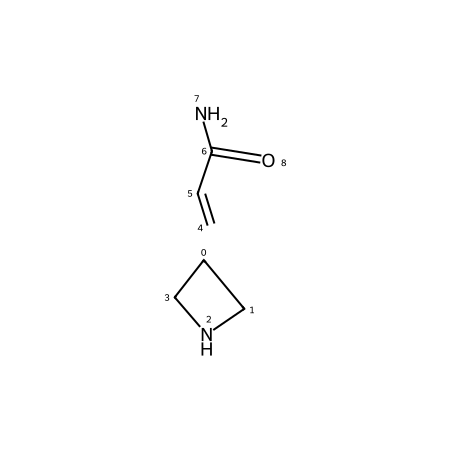 C1CNC1.C=CC(N)=O